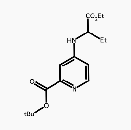 CCOC(=O)C(CC)Nc1ccnc(C(=O)OC(C)(C)C)c1